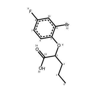 CCCC(Oc1ccc(F)cc1Br)C(=O)O